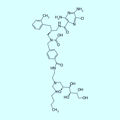 CCCCCCN(CCNC(=O)c1ccc(CN(C[C@H](CNC(=O)c2nc(Cl)c(N)nc2N)Cc2ccccc2C)C(=O)O)cc1)C[C@H](O)[C@@H](O)[C@H](O)[C@H](O)CO